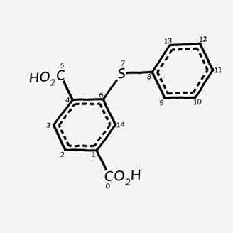 O=C(O)c1ccc(C(=O)O)c(Sc2ccccc2)c1